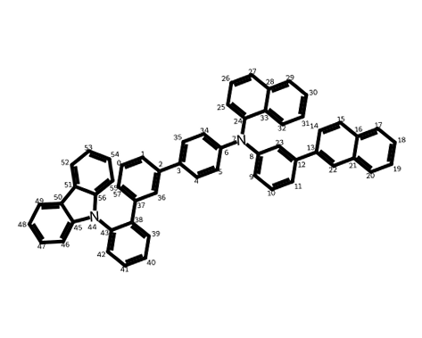 c1cc(-c2ccc(N(c3cccc(-c4ccc5ccccc5c4)c3)c3cccc4ccccc34)cc2)cc(-c2ccccc2-n2c3ccccc3c3ccccc32)c1